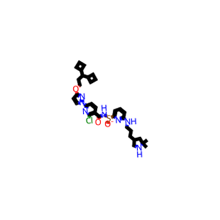 CC1(C)CC(CCCNc2cccc([S+]([O-])NC(=O)c3ccc(-n4ccc(OCCC(C5CCC5)C5CCC5)n4)nc3Cl)n2)CN1